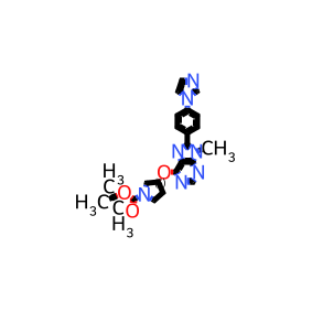 Cn1c(-c2ccc(-n3ccnc3)cc2)nc2c(O[C@H]3CCN(C(=O)OC(C)(C)C)C3)ncnc21